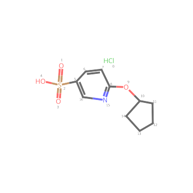 Cl.O=S(=O)(O)c1ccc(OC2CCCC2)nc1